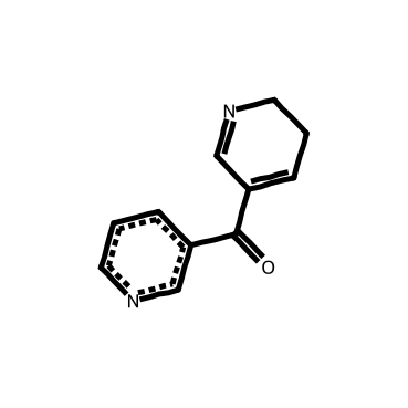 O=C(C1=CCCN=C1)c1cccnc1